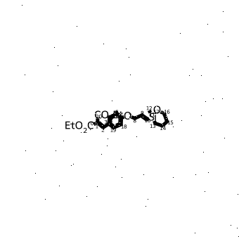 CCOC(=O)C(=Cc1ccc(OCC=C[Si]2(C)CCCCO2)cc1)C(=O)OCC